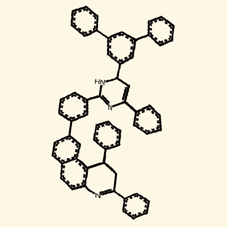 C1=C(c2ccccc2)N=C(c2cccc(-c3ccc4ccc5c(c4c3)C(c3ccccc3)CC(c3ccccc3)=N5)c2)NC1c1cc(-c2ccccc2)cc(-c2ccccc2)c1